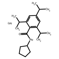 CC(C)c1cc(C(C)C)c(C(=O)PC2CCCC2)c(C(C)C)c1.[LiH]